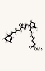 COC(=O)CCCCCCN1C(=O)CCC1C=CC(O)CCCCc1ccccc1